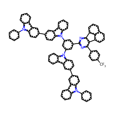 FC(F)(F)c1ccc(-c2nc(-c3cc(-n4c5ccccc5c5cc(-c6ccc7c(c6)c6ccccc6n7-c6ccccc6)ccc54)cc(-n4c5ccccc5c5cc(-c6ccc7c(c6)c6ccccc6n7-c6ccccc6)ccc54)c3)nc3c2-c2cccc4cccc-3c24)cc1